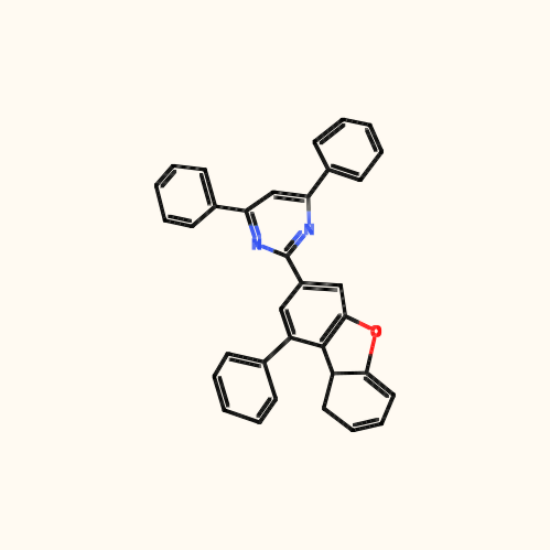 C1=CCC2C(=C1)Oc1cc(-c3nc(-c4ccccc4)cc(-c4ccccc4)n3)cc(-c3ccccc3)c12